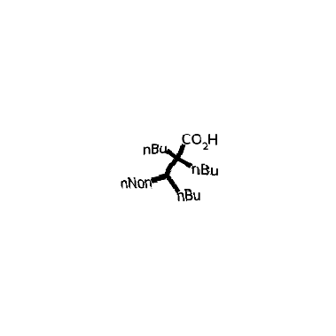 CCCCCCCCCC(CCCC)C(CCCC)(CCCC)C(=O)O